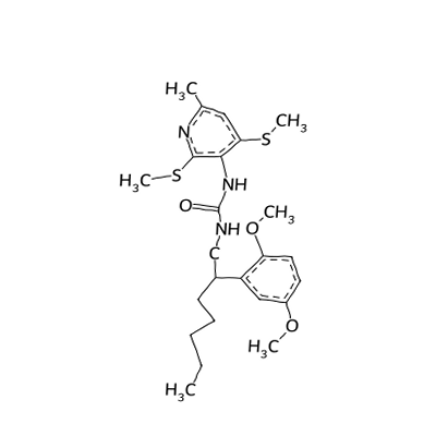 CCCCCC(CNC(=O)Nc1c(SC)cc(C)nc1SC)c1cc(OC)ccc1OC